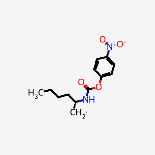 [CH2][C@@H](CCCC)NC(=O)Oc1ccc([N+](=O)[O-])cc1